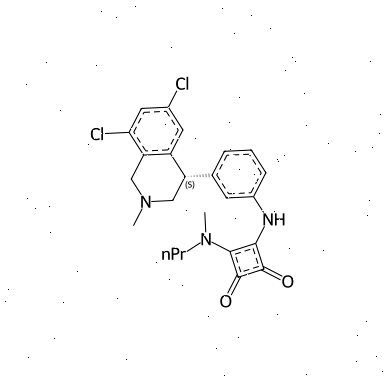 CCCN(C)c1c(Nc2cccc([C@@H]3CN(C)Cc4c(Cl)cc(Cl)cc43)c2)c(=O)c1=O